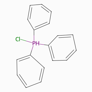 Cl[PH](c1ccccc1)(c1ccccc1)c1ccccc1